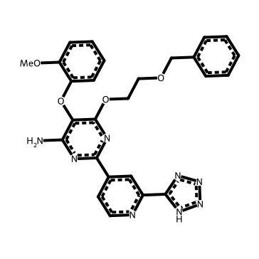 COc1ccccc1Oc1c(N)nc(-c2ccnc(-c3nnn[nH]3)c2)nc1OCCOCc1ccccc1